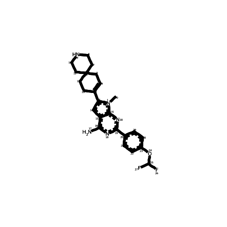 Cn1c(C2=CCC3(CCNCC3)CC2)cc2c(N)nc(-c3ccc(OC(F)F)cc3)nc21